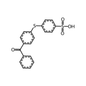 O=C(c1ccccc1)c1ccc(Sc2ccc(S(=O)(=O)O)cc2)cc1